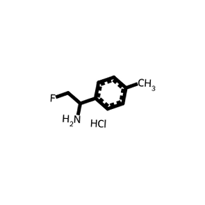 Cc1ccc(C(N)CF)cc1.Cl